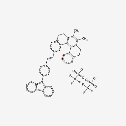 Cc1c(C)c2c(c3c1CC[n+]1ccc(/C=C/c4ccc(-n5c6ccccc6c6ccccc65)cc4)cc1-3)-c1c3ccccc3cc[n+]1CC2.O=S(=O)([O-])C(F)(F)F.O=S(=O)([O-])C(F)(F)F